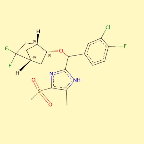 Cc1[nH]c(C(O[C@@H]2C[C@H]3C[C@@H]2CC3(F)F)c2ccc(F)c(Cl)c2)nc1S(C)(=O)=O